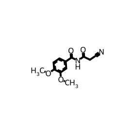 COc1ccc(C(=O)NC(=O)CC#N)cc1OC